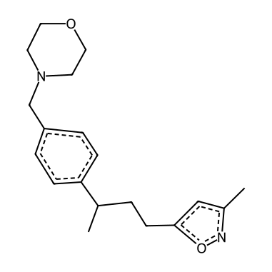 Cc1cc(CCC(C)c2ccc(CN3CCOCC3)cc2)on1